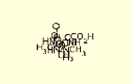 C[C@H](NC(=O)[C@H](C)NC(=O)[C@H](C)NC(=O)[C@H](C)NC(=O)OCc1ccccc1)C(=O)O